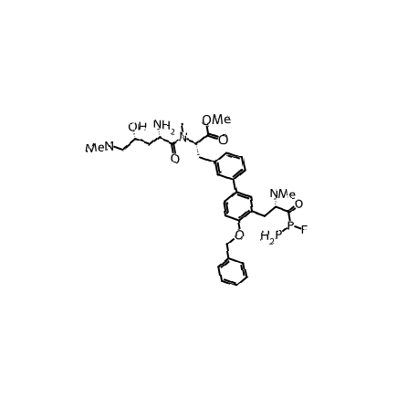 CNC[C@H](O)C[C@H](N)C(=O)N(C)[C@@H](Cc1cccc(-c2ccc(OCc3ccccc3)c(C[C@H](NC)C(=O)P(F)P)c2)c1)C(=O)OC